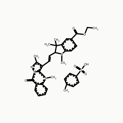 CCOC(=O)c1ccc2c(c1)C(C)(C)C(C=Cc1c(C)nn3c(=O)c4ccccc4n(C)c13)N2C.Cc1ccc(S(=O)(=O)O)cc1